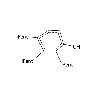 CCCC(C)c1ccc(O)c(C(C)CCC)c1C(C)CCC